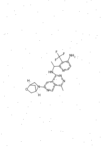 Cc1nnc(NC(C)c2nccc(N)c2C(F)(F)F)c2cc(N3C[C@H]4C[C@@H]3CO4)ncc12